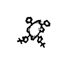 CC(C)(C)c1ccc(-c2c3nc(c(-c4ccccc4)c4ccc([nH]4)c(-c4ccccc4)c4nc(c(-c5ccc(C(C)(C)C)cc5)c5ccc2[nH]5)C=C4)C=C3)cc1